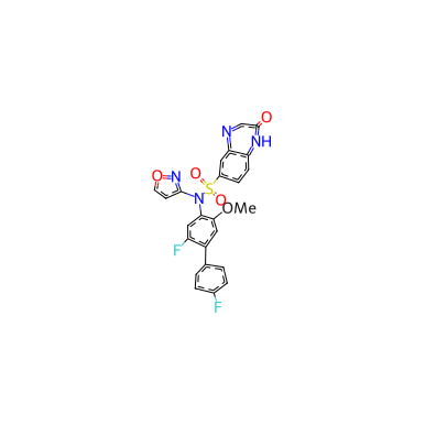 COc1cc(-c2ccc(F)cc2)c(F)cc1N(c1ccon1)S(=O)(=O)c1ccc2[nH]c(=O)cnc2c1